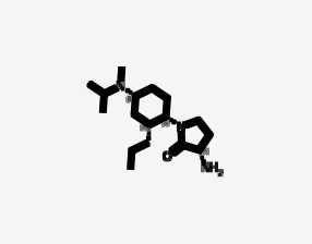 CCC[C@@H]1C[C@H](N(C)C(C)C)CC[C@@H]1N1CC[C@H](N)C1=O